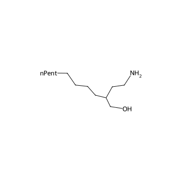 CCCCCCCCCC(CO)CCN